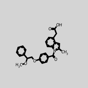 COC(COc1ccc(C(=O)n2c(C)cc3c(CC(=O)O)cccc32)cc1)c1ccccc1